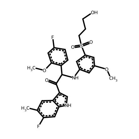 COc1cc(NC(C(=O)c2c[nH]c3cc(F)c(C)cc23)c2ccc(F)cc2OC)cc(S(=O)(=O)CCCO)c1